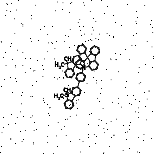 CC1(C)C2=CC=CC(N(c3ccc(-c4ccc5c(c4)[Si](C)(C)c4ccccc4-5)cc3)c3cccc4c3C3(c5ccccc5-c5ccccc53)c3ccccc3-4)C2c2ccccc21